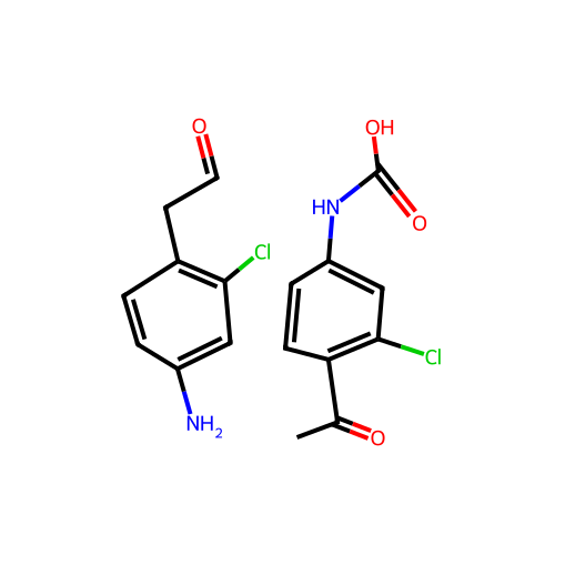 CC(=O)c1ccc(NC(=O)O)cc1Cl.Nc1ccc(CC=O)c(Cl)c1